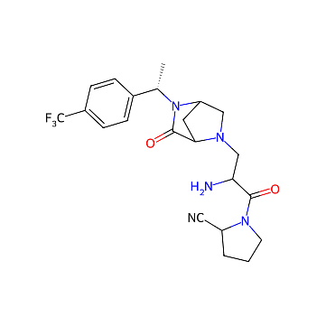 C[C@@H](c1ccc(C(F)(F)F)cc1)N1C(=O)C2CC1CN2CC(N)C(=O)N1CCCC1C#N